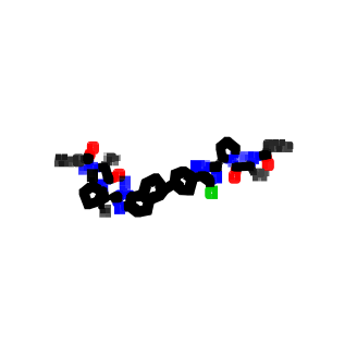 COC(=O)NC(C(=O)N1[C@@H]2CC[C@@H](C2)[C@H]1c1nc2ccc3cc(-c4ccc(-c5[nH]c([C@@H]6CCCN6C(=O)[C@@H](NC(=O)OC)C(C)C)nc5Cl)cc4)ccc3c2[nH]1)C(C)C